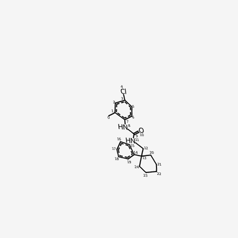 Cc1cc(Cl)ccc1NC(=O)NCC1(c2ccccc2)CCCCC1